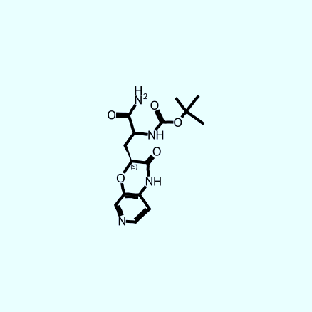 CC(C)(C)OC(=O)NC(C[C@@H]1Oc2cnccc2NC1=O)C(N)=O